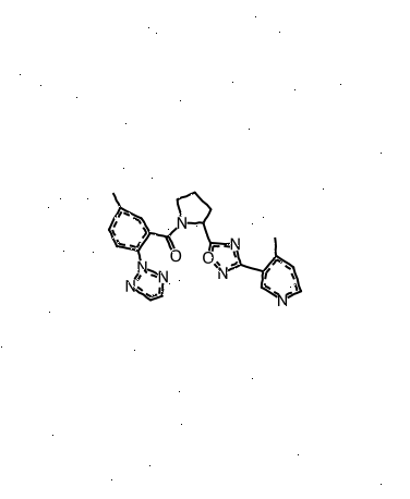 Cc1ccc(-n2nccn2)c(C(=O)N2CCCC2c2nc(-c3cnccc3C)no2)c1